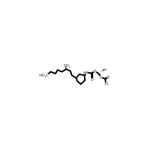 CCC(=O)O[C@H](OC(=O)NC1CCCC(CC[C@H](C)CCCCC(=O)O)C1)C(C)C